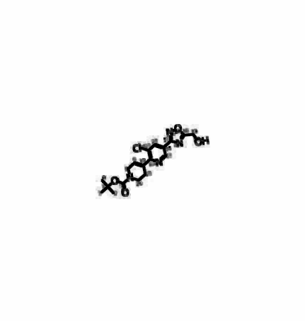 CC(C)(C)OC(=O)N1CC=C(c2ncc(-c3noc(CO)n3)cc2Cl)CC1